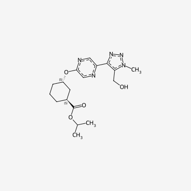 CC(C)OC(=O)[C@H]1CCC[C@H](Oc2cnc(-c3nnn(C)c3CO)cn2)C1